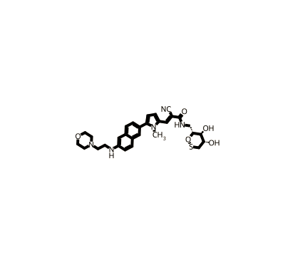 Cn1c(/C=C(\C#N)C(=O)NC[C@H]2OSC[C@@H](O)[C@@H]2O)ccc1-c1ccc2cc(NCCN3CCOCC3)ccc2c1